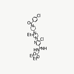 CCOC(CNC(=N)c1cnc(N2CCN(C3CCN(C(=O)c4ccc(Cl)cc4)CC3)[C@@H](CC)C2)c(Cl)c1)OCC